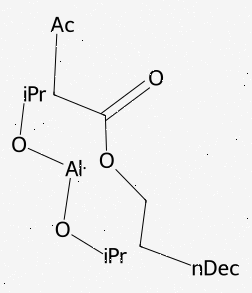 CC(C)[O][Al][O]C(C)C.CCCCCCCCCCCCOC(=O)CC(C)=O